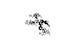 CC(C)(C)OC(=O)N1CCCC(c2cc(N(COCC[Si](C)(C)C)COCC[Si](C)(C)C)n3ncc(-c4coc(C#N)c4)c3n2)C1